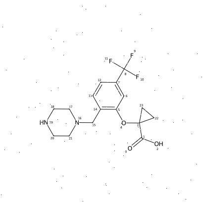 O=C(O)C1(Oc2cc(C(F)(F)F)ccc2CN2CCNCC2)CC1